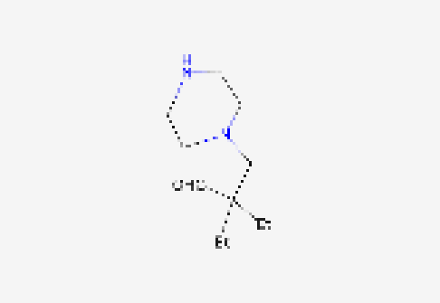 CCC(C=O)(CC)CN1CCNCC1